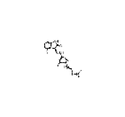 Cc1cc(NC=C2C(=O)Nc3cccc(C)c32)ccc1NCCN(C)C